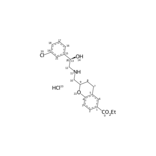 CCOC(=O)c1ccc2c(c1)CCC(CNC[C@H](O)c1cccc(Cl)c1)O2.Cl